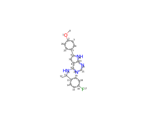 COc1ccc(-c2cc3c(NC(C)c4ccc(F)cc4)ncnc3[nH]2)cc1